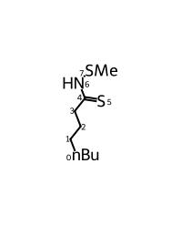 CCCCCCCC(=S)NSC